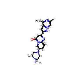 CCCc1nc(C)cn2nc(-c3cc(=O)n4cc(N5C[C@@H](C)N[C@@H](C)C5)ccc4n3)cc12